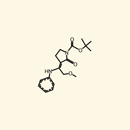 COCC(Nc1ccccc1)=C1CCN(C(=O)OC(C)(C)C)C1=O